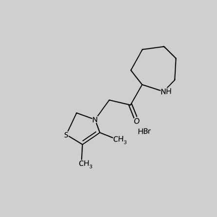 Br.CC1=C(C)N(CC(=O)C2CCCCCN2)CS1